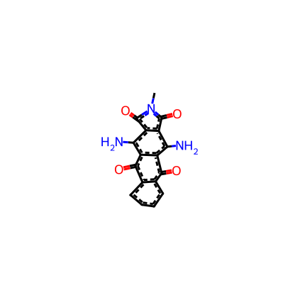 Cn1c(=O)c2c(N)c3c(=O)c4ccccc4c(=O)c3c(N)c2c1=O